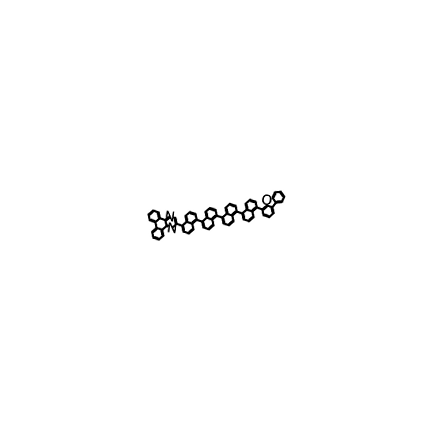 c1ccc2c(c1)oc1c(-c3cccc4c(-c5cccc6c(-c7cccc8c(-c9cccc%10c(-c%11cnc%12c%13ccccc%13c%13ccccc%13c%12n%11)cccc9%10)cccc78)cccc56)cccc34)cccc12